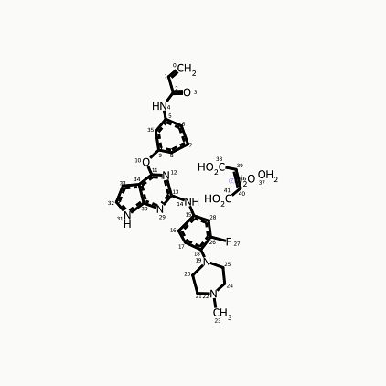 C=CC(=O)Nc1cccc(Oc2nc(Nc3ccc(N4CCN(C)CC4)c(F)c3)nc3[nH]ccc23)c1.O.O.O=C(O)/C=C\C(=O)O